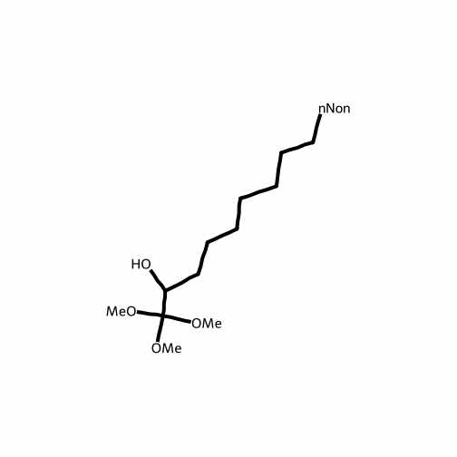 CCCCCCCCCCCCCCCCC(O)C(OC)(OC)OC